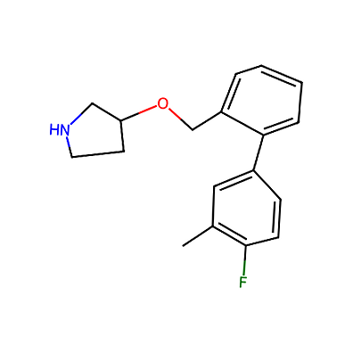 Cc1cc(-c2ccccc2COC2CCNC2)ccc1F